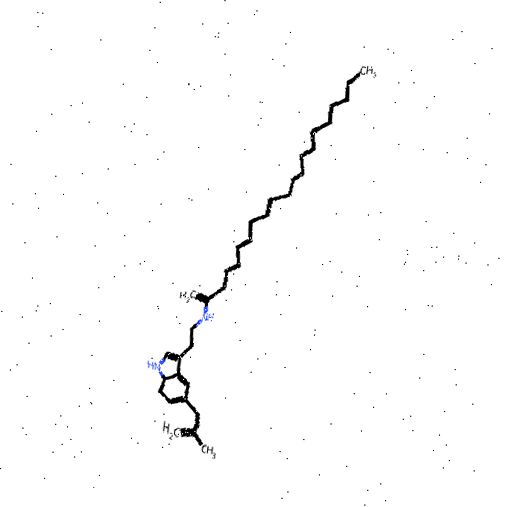 C=C(C)CC1=CCC2NC=C(CCNC(=C)CCCCCCCCCCCCCCCCCCC)C2=C1